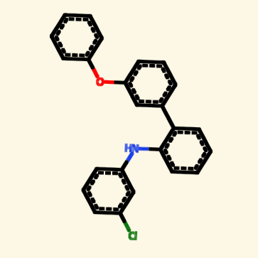 Clc1cccc(Nc2ccccc2-c2cccc(Oc3ccccc3)c2)c1